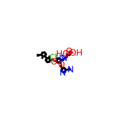 C#Cc1cccc(-c2cccc(COc3cc(OCc4cncc(C#N)c4)c(CNCC(O)CC(=O)O)cc3Cl)c2C)c1C